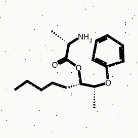 CCCCC[C@H](OC(=O)[C@H](C)N)[C@@H](C)Oc1ccccc1